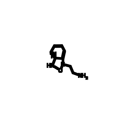 NCCN1ONC23N=NC=C2C=CC=C13